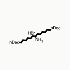 Br.CCCCCCCCCCCCCCCCC(N)CCCCCCCCCCCCCCCC